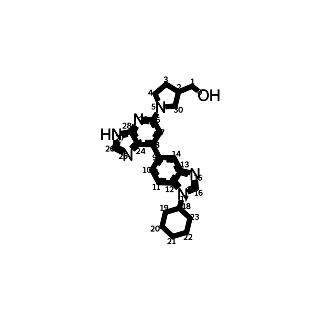 OCC1CCN(c2cc(-c3ccc4c(c3)ncn4C3CCCCC3)c3nc[nH]c3n2)C1